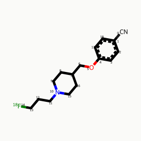 N#Cc1ccc(OCC2CCN(CCC[18F])CC2)cc1